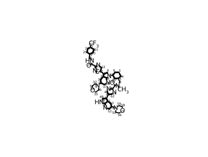 CN(Cc1cccc(-n2cc(-c3cnc(C(=O)NCc4ccc(C(F)(F)F)cc4)nc3)c3cc(N4CCOCC4)cnc32)c1)C(=O)c1ncc(-c2c[nH]c3ncc(N4CCOCC4)cc23)cn1